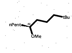 CCCCC[C@@H](CCCC(C)(C)C)OC